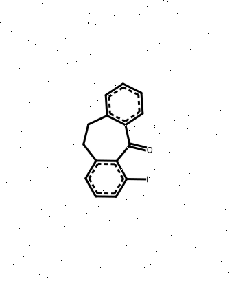 O=C1c2ccccc2CCc2cccc(I)c21